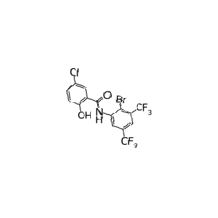 O=C(Nc1cc(C(F)(F)F)cc(C(F)(F)F)c1Br)c1cc(Cl)ccc1O